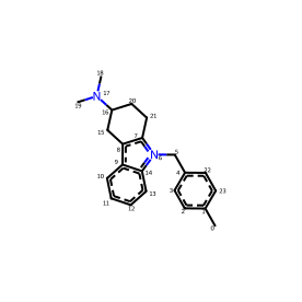 Cc1ccc(Cn2c3c(c4ccccc42)CC(N(C)C)CC3)cc1